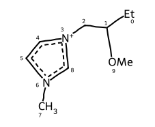 CCC(C[n+]1ccn(C)c1)OC